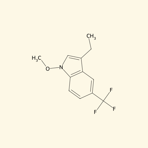 CCc1cn(OC)c2ccc(C(F)(F)F)cc12